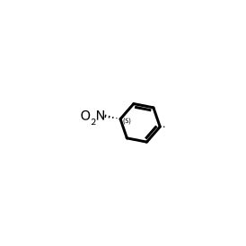 O=[N+]([O-])[C@@H]1C=C[C]=CC1